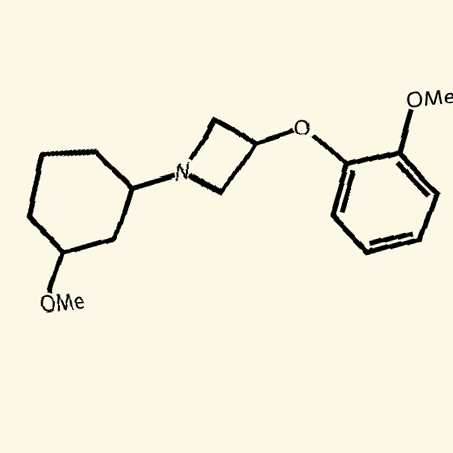 COc1ccccc1OC1CN(C2CCCC(OC)C2)C1